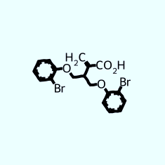 C=C(C(=O)O)C(COc1ccccc1Br)COc1ccccc1Br